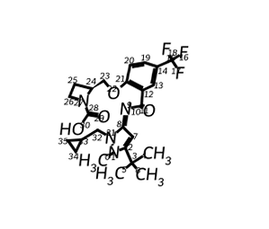 Cn1c(C(C)(C)C)cc(=NC(=O)c2cc(C(F)(F)F)ccc2OC[C@@H]2CCN2C(=O)O)n1CC1CC1